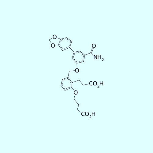 NC(=O)c1cc(OCc2cccc(OCCCC(=O)O)c2CCC(=O)O)cc(-c2ccc3c(c2)OCO3)c1